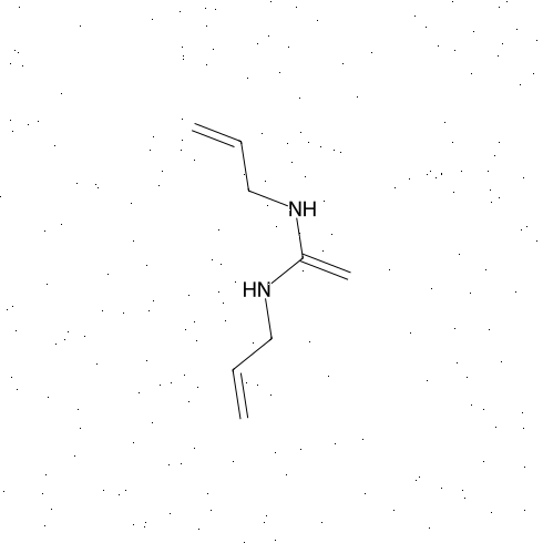 C=CCNC(=C)NCC=C